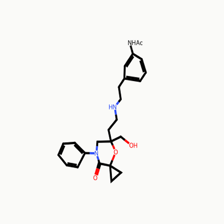 CC(=O)Nc1cccc(CCNCCC2(CO)CN(c3ccccc3)C(=O)C3(CC3)O2)c1